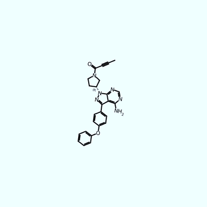 CC#CC(=O)N1CC[C@@H](n2nc(-c3ccc(Oc4ccccc4)cc3)c3c(N)ncnc32)C1